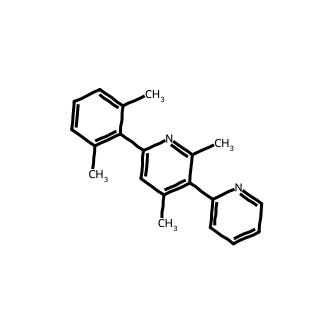 Cc1cccc(C)c1-c1cc(C)c(-c2ccccn2)c(C)n1